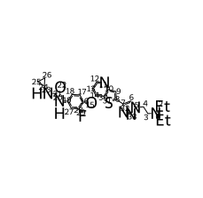 CCN(CC)CCn1cc(-c2cc3nccc(Oc4ccc(NC(=O)NC5CC5)cc4F)c3s2)nn1